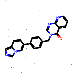 O=c1c2cccnc2ncn1Cc1ccc(-c2ccc3cncn3c2)cc1